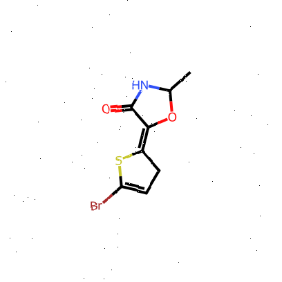 CC1NC(=O)C(=C2CC=C(Br)S2)O1